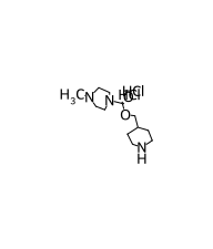 CN1CCN(C(=O)OCC2CCNCC2)CC1.Cl.Cl